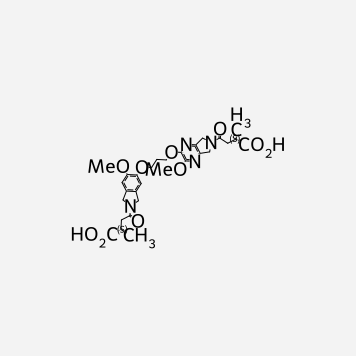 COc1cc2c(cc1OCCCOc1nc3c(nc1OC)CN(C(=O)C[C@H](C)C(=O)O)C3)CN(C(=O)C[C@H](C)C(=O)O)C2